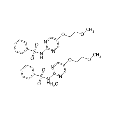 COCCOc1cnc(NS(=O)(=O)c2ccccc2)nc1.COCCOc1cnc(NS(=O)(=O)c2ccccc2)nc1.O